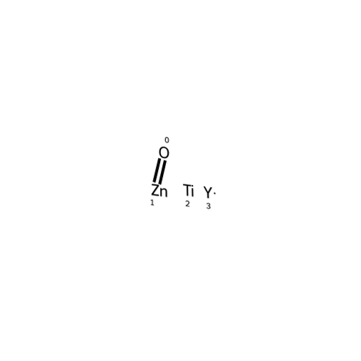 [O]=[Zn].[Ti].[Y]